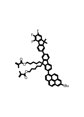 C=C(C)C(=O)OCCCCCC1(CCCCCOC(=O)C(=C)C)c2cc(-c3ccc4c(c3)C(C)(C)c3cc(F)c(F)c(F)c3-4)ccc2-c2ccc(-c3ccc4ccc5cc(C(C)(C)C)cc6ccc3c4c56)cc21